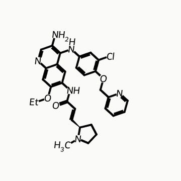 CCOc1cc2ncc(N)c(Nc3ccc(OCc4ccccn4)c(Cl)c3)c2cc1NC(=O)/C=C/[C@H]1CCCN1C